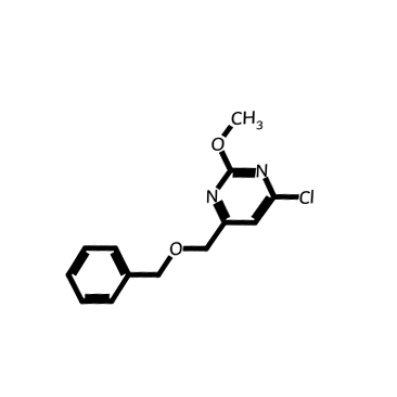 COc1nc(Cl)cc(COCc2ccccc2)n1